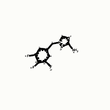 Nc1ncn(Cc2cc(F)c(F)c(F)c2)n1